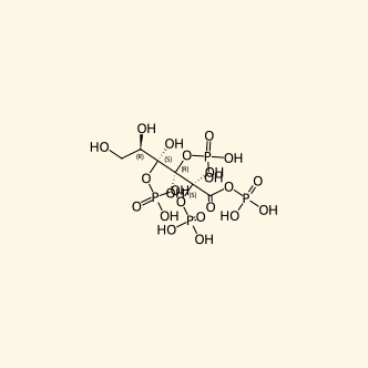 O=C(OP(=O)(O)O)[C@@](O)(OP(=O)(O)O)[C@](O)(OP(=O)(O)O)[C@@](O)(OP(=O)(O)O)[C@H](O)CO